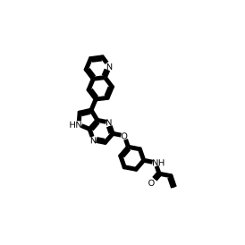 C=CC(=O)NC1CCC=C(Oc2cnc3[nH]cc(-c4ccc5ncccc5c4)c3n2)C1